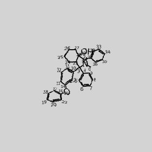 CN(C)C(c1ccccc1)(c1cccc(Oc2ccccc2)c1)C1CCCCC1(O)Cc1ccccc1